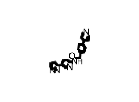 O=C(Cc1ccc(-c2ccncc2)cc1)Nc1ccc(-c2cccnn2)cn1